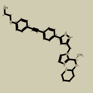 C[C@H](OC1CCCCO1)c1nccn1Cc1cc(-c2ccc(C#Cc3ccc(OCCO)cc3)cc2)on1